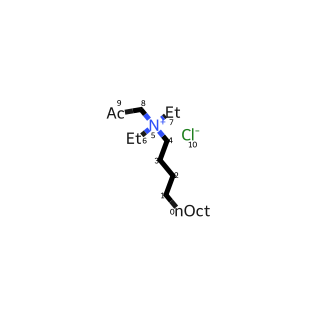 CCCCCCCCCCCC[N+](CC)(CC)CC(C)=O.[Cl-]